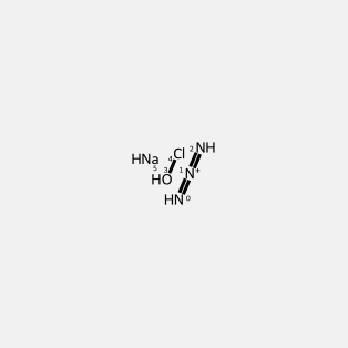 N=[N+]=N.OCl.[NaH]